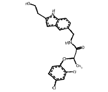 CC(Oc1ccc(Cl)cc1Cl)C(=O)NCc1ccc2[nH]c(CCO)cc2c1